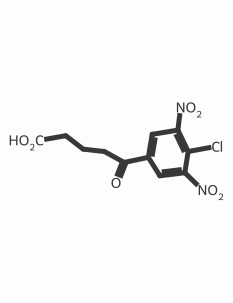 O=C(O)CCCC(=O)c1cc([N+](=O)[O-])c(Cl)c([N+](=O)[O-])c1